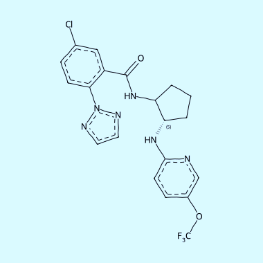 O=C(NC1CCC[C@@H]1Nc1ccc(OC(F)(F)F)cn1)c1cc(Cl)ccc1-n1nccn1